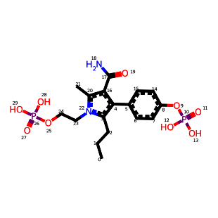 CCCc1c(-c2ccc(OP(=O)(O)O)cc2)c(C(N)=O)c(C)n1CCOP(=O)(O)O